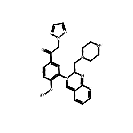 CC(C)Oc1ccc(C(=O)Cn2nccn2)cc1N1C=c2cccnc2=NC1CN1CCNCC1